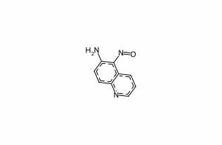 Nc1ccc2ncccc2c1N=O